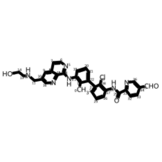 Cc1c(Nc2nccc3cc(CNCCO)cnc23)cccc1-c1cccc(NC(=O)c2ccc(C=O)cn2)c1Cl